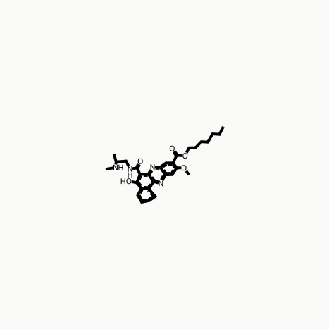 CCCCCCCOC(=O)c1cc2nc3c(C(=O)NCC(C)NC)c(O)c4ccccc4c3nc2cc1OC